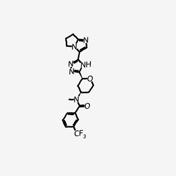 CN(C(=O)c1cccc(C(F)(F)F)c1)[C@@H]1CCO[C@H](c2nnc(-c3cnc4n3CCC4)[nH]2)C1